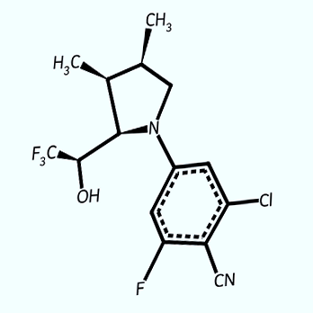 C[C@@H]1[C@H]([C@@H](O)C(F)(F)F)N(c2cc(F)c(C#N)c(Cl)c2)C[C@@H]1C